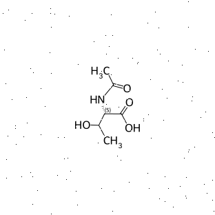 CC(=O)N[C@H](C(=O)O)C(C)O